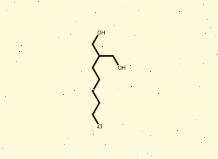 OCC(CO)CCCCCCl